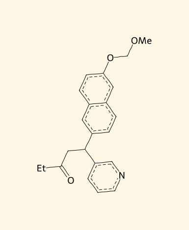 CCC(=O)CC(c1cccnc1)c1ccc2cc(OCOC)ccc2c1